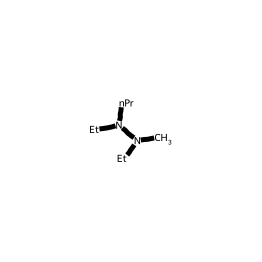 CCCN(CC)N(C)CC